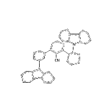 N#Cc1c(-c2cccc(-n3c4ccccc4c4ccccc43)c2)cccc1-c1ccccc1-n1c2ccccc2c2ccccc21